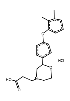 Cc1cccc(Oc2ccc(C3CN(CCC(=O)O)CCO3)cc2)c1C.Cl